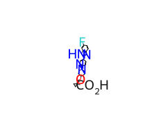 O=C(O)C1(COC2CCN(c3ccc(-c4nc5ccc(F)cc5[nH]4)cn3)CC2)CC1